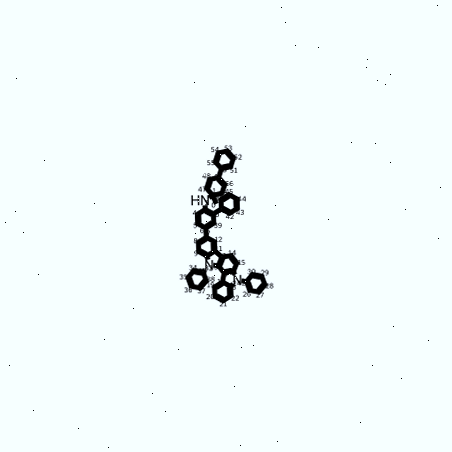 CC1(Nc2ccc(-c3ccc4c(c3)c3ccc5c(c6ccccc6n5-c5ccccc5)c3n4-c3ccccc3)cc2-c2ccccc2)C=CC(c2ccccc2)=CC1